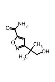 CC(C)(CO)c1cc(C(N)=O)on1